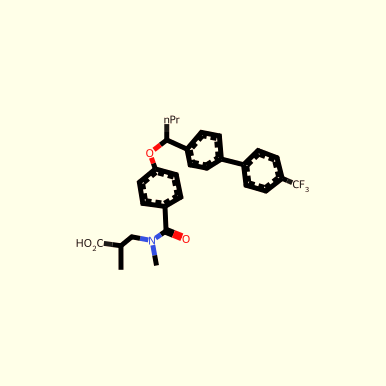 CCCC(Oc1ccc(C(=O)N(C)CC(C)C(=O)O)cc1)c1ccc(-c2ccc(C(F)(F)F)cc2)cc1